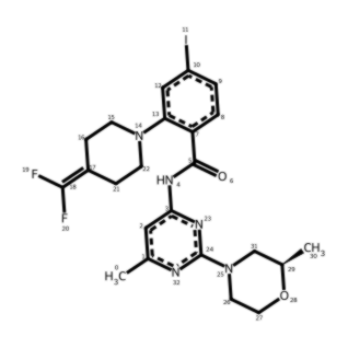 Cc1cc(NC(=O)c2ccc(I)cc2N2CCC(=C(F)F)CC2)nc(N2CCO[C@H](C)C2)n1